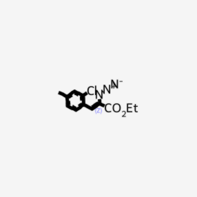 CCOC(=O)/C(=C/c1ccc(C)cc1Cl)N=[N+]=[N-]